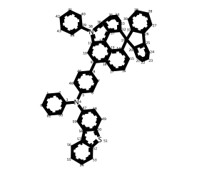 c1ccc(N(c2ccc(-c3cc4c5c6c(cccc36)C3(c6ccccc6-c6ccccc63)c3cccc(c35)n4-c3ccccc3)cc2)c2ccc3sc4ccccc4c3c2)cc1